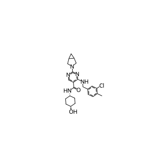 Cc1ccc(CNc2nc(N3CC4CC4C3)ncc2C(=O)N[C@H]2CC[C@H](O)CC2)cc1Cl